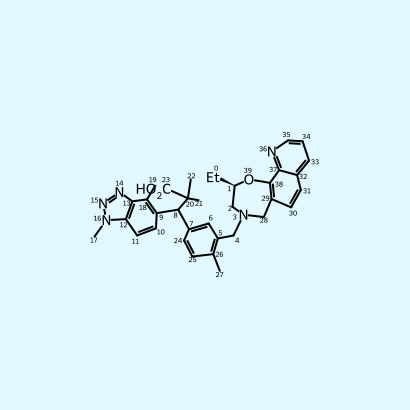 CC[C@@H]1CN(Cc2cc(C(c3ccc4c(nnn4C)c3C)C(C)(C)C(=O)O)ccc2C)Cc2ccc3cccnc3c2O1